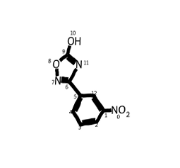 O=[N+]([O-])c1cccc(-c2noc(O)n2)c1